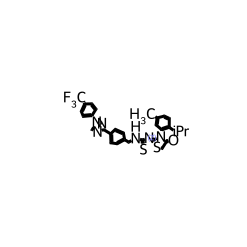 Cc1ccc(C(C)C)c(N2C(=O)CS/C2=N\C(=S)NCc2ccc(-c3ncn(-c4ccc(C(F)(F)F)cc4)n3)cc2)c1